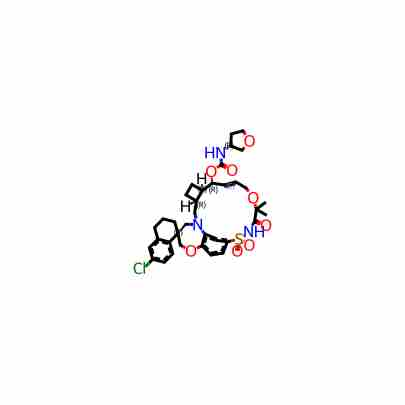 CC1(C)OC/C=C/[C@H](OC(=O)N[C@@H]2CCOC2)[C@@H]2CC[C@H]2CN2C[C@@]3(CCCc4cc(Cl)ccc43)COc3ccc(cc32)S(=O)(=O)NC1=O